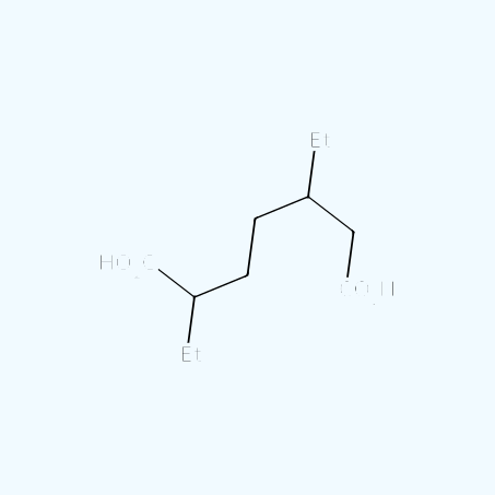 CCC(CCC(CC)C(=O)O)CC(=O)O